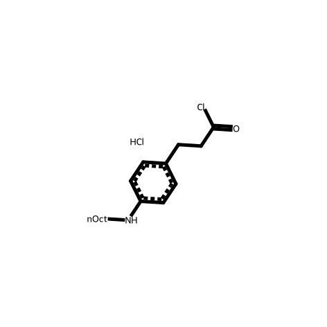 CCCCCCCCNc1ccc(CCC(=O)Cl)cc1.Cl